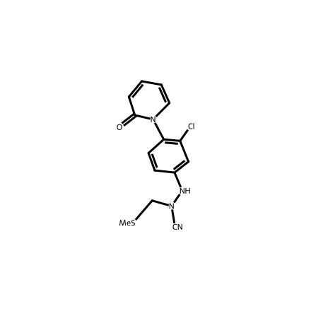 CSCN(C#N)Nc1ccc(-n2ccccc2=O)c(Cl)c1